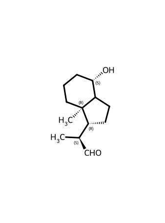 C[C@H](C=O)[C@H]1CCC2[C@@H](O)CCC[C@@]21C